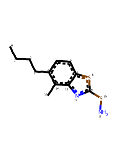 CCCCc1ccc2sc(SN)nc2c1C